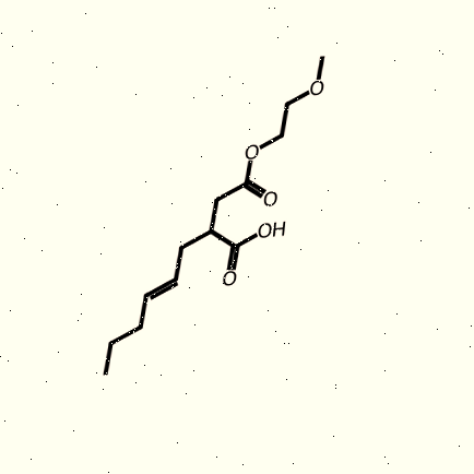 CCC/C=C/CC(CC(=O)OCCOC)C(=O)O